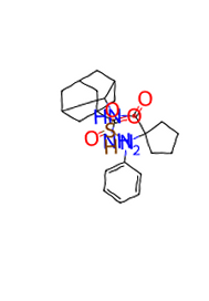 NC(=O)C12CC3CC(C1)C(NC(=O)C1(N(c4ccccc4)[SH](=O)=O)CCCC1)C(C3)C2